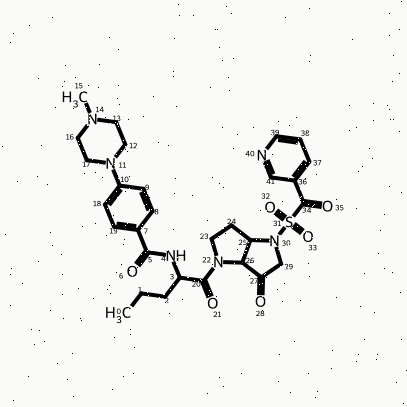 CCCC(NC(=O)c1ccc(N2CCN(C)CC2)cc1)C(=O)N1CCC2C1C(=O)CN2S(=O)(=O)C(=O)c1cccnc1